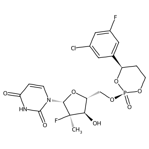 C[C@@]1(F)[C@H](O)[C@@H](CO[P@]2(=O)OCC[C@H](c3cc(F)cc(Cl)c3)O2)O[C@H]1n1ccc(=O)[nH]c1=O